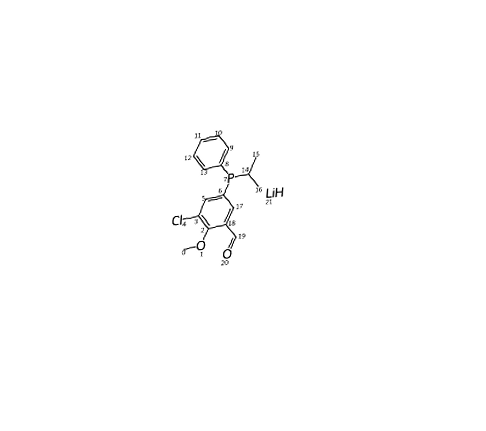 COc1c(Cl)cc(P(c2ccccc2)C(C)C)cc1C=O.[LiH]